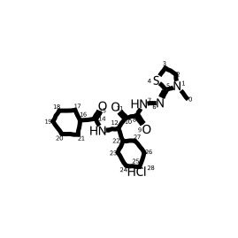 CN1CCSC1=NNC(=O)C(=O)C(NC(=O)C1CCCCC1)C1CCCCC1.Cl